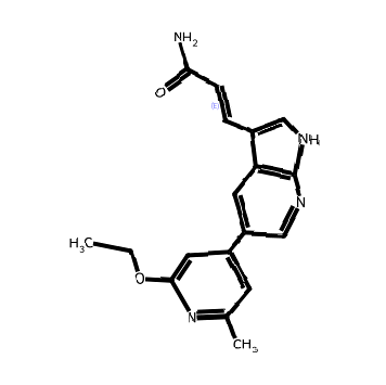 CCOc1cc(-c2cnc3[nH]cc(/C=C/C(N)=O)c3c2)cc(C)n1